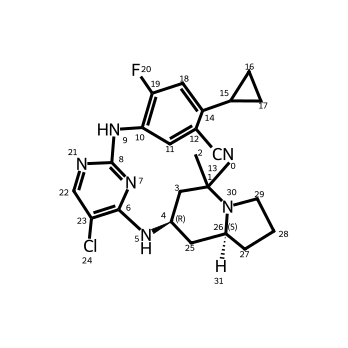 CC1(C)C[C@H](Nc2nc(Nc3cc(C#N)c(C4CC4)cc3F)ncc2Cl)C[C@@H]2CCCN21